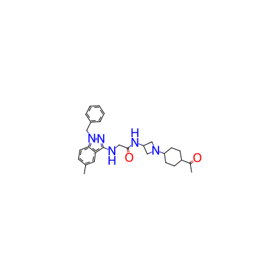 CC(=O)C1CCC(N2CC(NC(=O)CNc3nn(Cc4ccccc4)c4ccc(C)cc34)C2)CC1